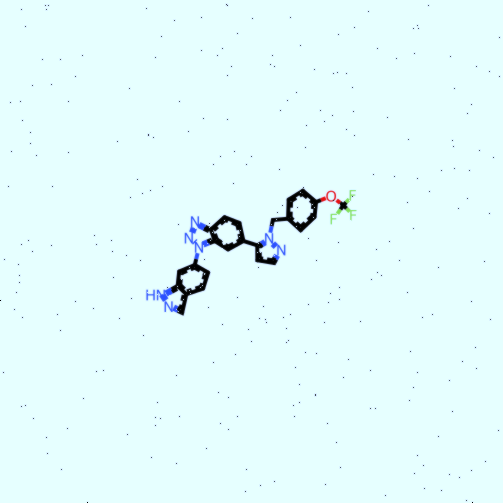 FC(F)(F)Oc1ccc(Cn2nccc2-c2ccc3nnn(-c4ccc5cn[nH]c5c4)c3c2)cc1